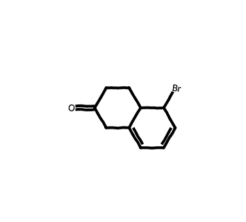 O=C1CCC2C(=CC=CC2Br)C1